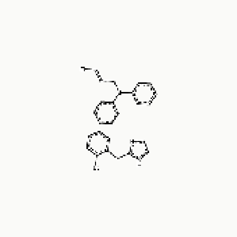 CCc1ccccc1Cc1ncc[nH]1.ClC=CCB(c1ccccc1)c1ccccc1